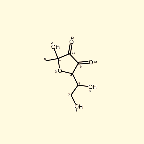 CC1(O)OC(C(O)CO)C(=O)C1=O